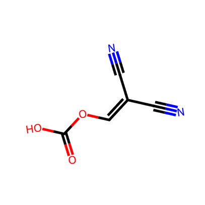 N#CC(C#N)=COC(=O)O